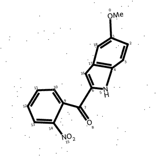 COc1ccc2[nH]c(C(=O)c3ccccc3[N+](=O)[O-])cc2c1